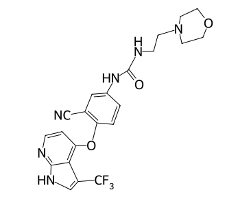 N#Cc1cc(NC(=O)NCCN2CCOCC2)ccc1Oc1ccnc2[nH]cc(C(F)(F)F)c12